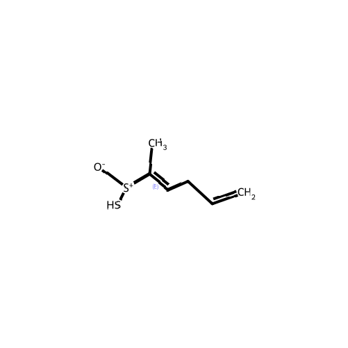 C=CC/C=C(\C)[S+]([O-])S